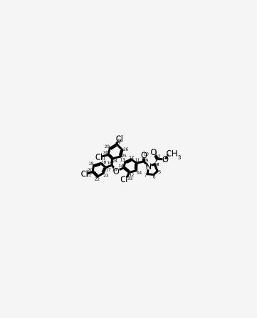 COC(=O)[C@@H]1CCCN1C(=O)c1ccc(OC(c2ccc(Cl)cc2)c2ccc(Cl)cc2Cl)c(Cl)c1